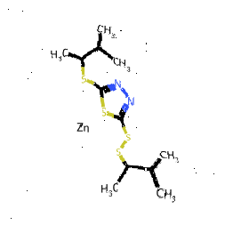 CC(C)C(C)SSc1nnc(SC(C)C(C)C)s1.[Zn]